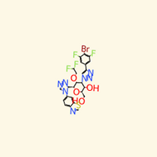 OC[C@H]1O[C@@H](c2nncn2-c2ccc3ncsc3c2)[C@H](OCC(F)F)[C@@H](n2cc(-c3cc(F)c(Br)c(F)c3)nn2)[C@H]1O